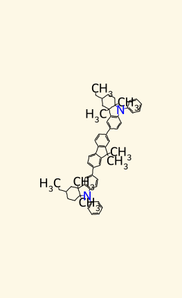 CCC1CCC2(C)N(c3ccccc3)c3ccc(-c4ccc5c(c4)C(C)(C)c4cc(-c6ccc7c(c6)C6(C)CC(CC)CCC6(C)N7c6ccccc6)ccc4-5)cc3C2(C)C1